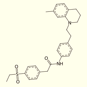 CCS(=O)(=O)c1ccc(CC(=O)Nc2ccc(CCN3CCCc4ccc(C)cc43)cc2)cc1